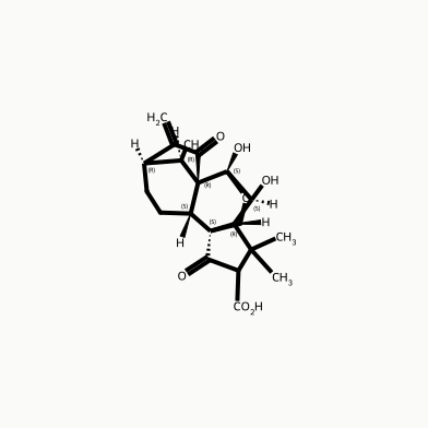 C=C1C(=O)[C@]23[C@H](C)[C@H]1CC[C@H]2[C@@]12CO[C@]3(O)[C@@H](O)[C@@H]1C(C)(C)C(C(=O)O)C2=O